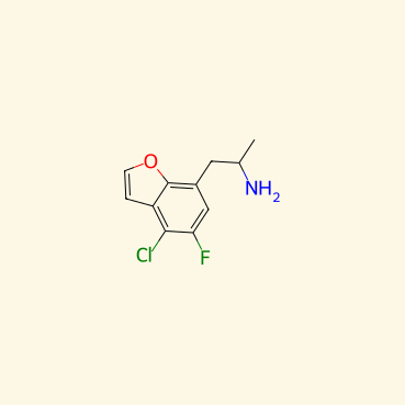 CC(N)Cc1cc(F)c(Cl)c2ccoc12